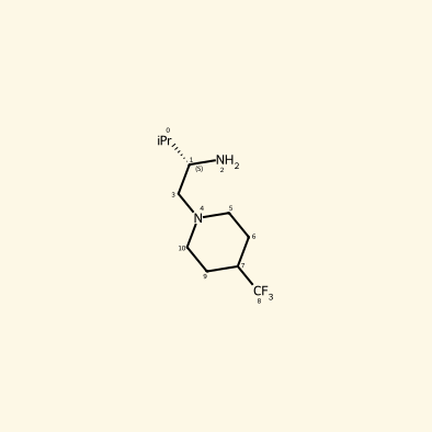 CC(C)[C@H](N)CN1CCC(C(F)(F)F)CC1